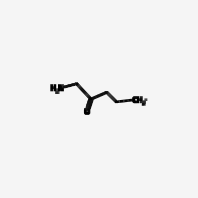 [CH2]CCC(=O)CN